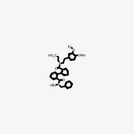 CCCCN(Cc1ccccc1)C(=O)c1ccccc1-c1ccccc1C(=O)N(CCC(=O)O)CCc1ccc(OC)c(OCC)c1